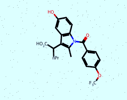 CCCC(C(=O)O)c1c(C)n(C(=O)c2ccc(OC(F)(F)F)cc2)c2ccc(O)cc12